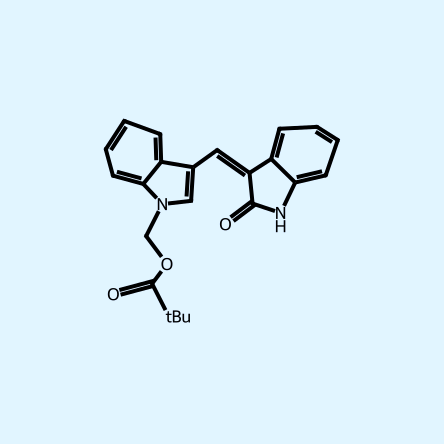 CC(C)(C)C(=O)OCn1cc(/C=C2\C(=O)Nc3ccccc32)c2ccccc21